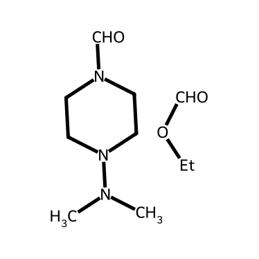 CCOC=O.CN(C)N1CCN(C=O)CC1